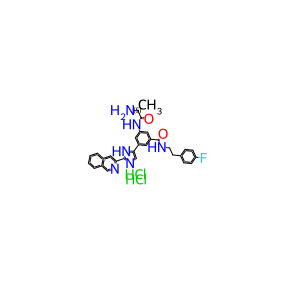 C[C@H](N)C(=O)Nc1cc(C(=O)NCCc2ccc(F)cc2)cc(-c2cnc(-c3cc4ccccc4cn3)[nH]2)c1.Cl.Cl